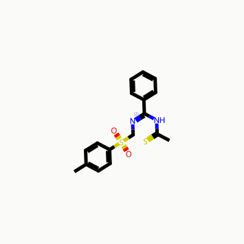 CC(=S)N/C(=N\CS(=O)(=O)c1ccc(C)cc1)c1ccccc1